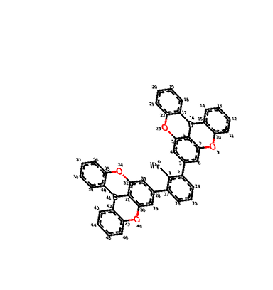 CC(C)c1c(-c2cc3c4c(c2)Oc2ccccc2B4c2ccccc2O3)cccc1-c1cc2c3c(c1)Oc1ccccc1B3c1ccccc1O2